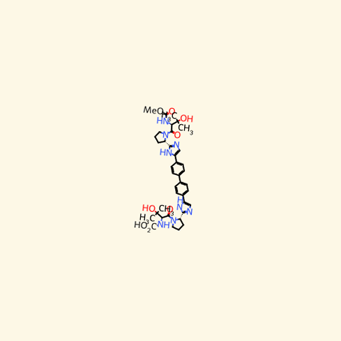 COC(=O)N[C@H](C(=O)N1CCC[C@H]1c1ncc(-c2ccc(-c3ccc(-c4cnc([C@@H]5CCCN5C(=O)[C@@H](NC(=O)O)C(C)(C)O)[nH]4)cc3)cc2)[nH]1)C(C)(C)O